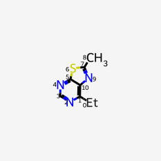 CCc1ncnc2sc(C)nc12